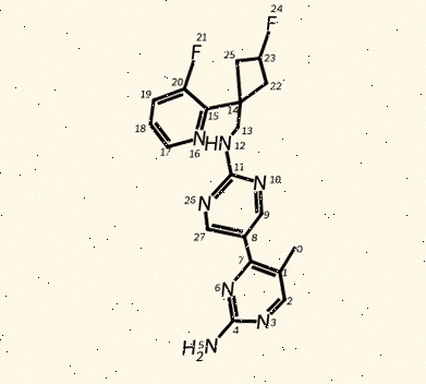 Cc1cnc(N)nc1-c1cnc(NCC2(c3ncccc3F)CC(F)C2)nc1